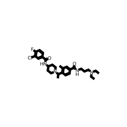 CCN(CC)CCCNC(=O)c1ccc(C(C)N2CCC(NC(=O)c3ccc(F)c(Cl)c3)CC2)c(C)c1